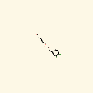 O=C(Cc1ccc(F)c(F)c1)OCC=CCCO